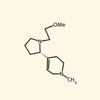 COCCN1CCC[C@H]1C1=CCN(C)CC1